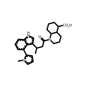 CC(CC(=O)N1CCCC2C(C(=O)O)CCCC21)c1c[nH]c2cccc(-c3cccn3C)c12